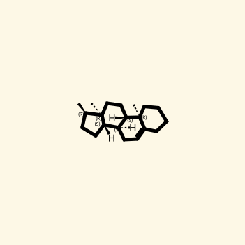 C[C@@H]1CC[C@H]2[C@@H]3CC=C4CCCC[C@]4(C)[C@H]3CC[C@]12C